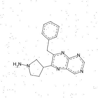 NN1CCC(c2nc3cncnc3nc2Cc2ccccc2)C1